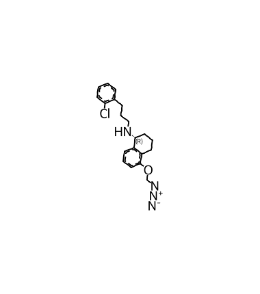 [N-]=[N+]=NCOc1cccc2c1CCC[C@H]2NCCCc1ccccc1Cl